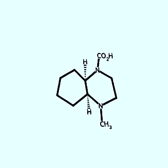 CN1CCN(C(=O)O)[C@@H]2CCCC[C@@H]21